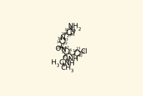 CC(C)NC(=O)NC(c1ccc(Cl)cc1)C1CCN(C(=O)C2CCN(Cc3ccnc(N)c3)CC2)CC1